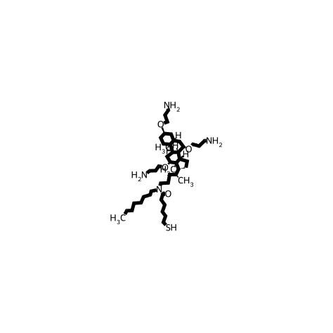 CCCCCCCCN(CCC[C@@H](C)[C@H]1CC[C@H]2[C@@H]3[C@H](OCCCN)C[C@@H]4C[C@H](OCCCN)CC[C@]4(C)[C@H]3C[C@H](OCCCN)[C@]12C)C(=O)CCCCCS